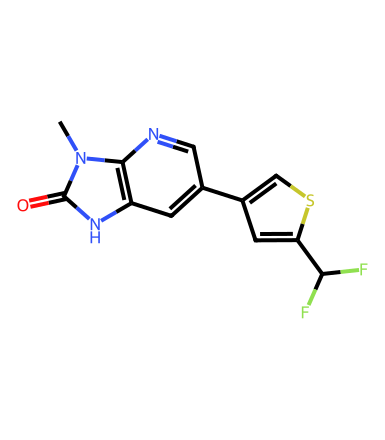 Cn1c(=O)[nH]c2cc(-c3csc(C(F)F)c3)cnc21